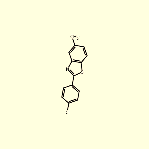 [CH2]c1ccc2sc(-c3ccc(Cl)cc3)nc2c1